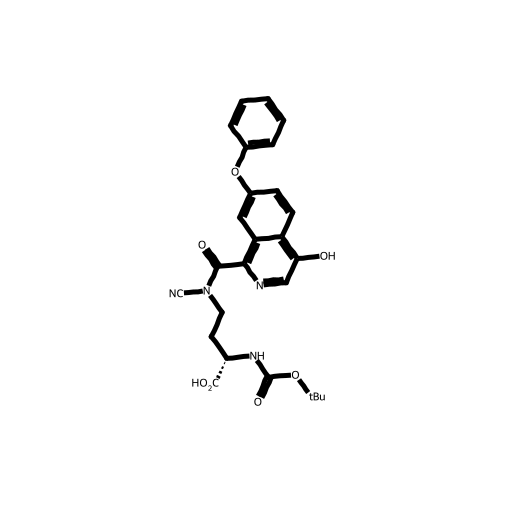 CC(C)(C)OC(=O)N[C@@H](CCN(C#N)C(=O)c1ncc(O)c2ccc(Oc3ccccc3)cc12)C(=O)O